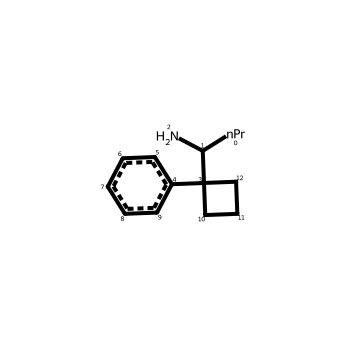 CCCC(N)C1(c2ccccc2)CCC1